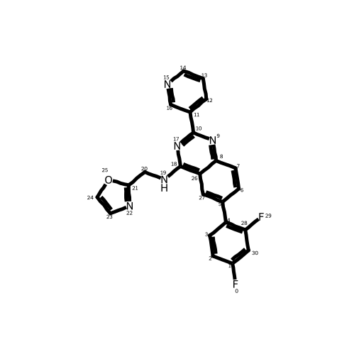 Fc1ccc(-c2ccc3nc(-c4cccnc4)nc(NCc4ncco4)c3c2)c(F)c1